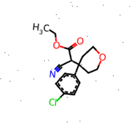 CCOC(=O)C(C#N)C1(c2ccc(Cl)cc2)CCOCC1